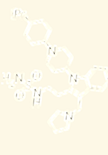 CC(C)[C@H]1CC[C@@H](N2CCC(n3c(CCNS(N)(=O)=O)c(CN4CCCC4)c4ccccc43)CC2)CC1